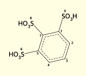 O=S(=O)(O)c1c[c]cc(S(=O)(=O)O)c1S(=O)(=O)O